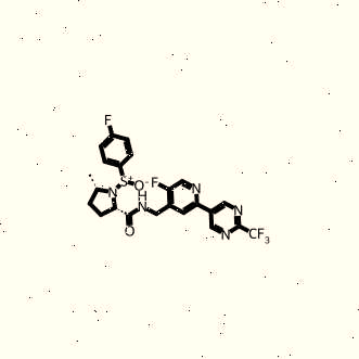 C[C@H]1CC[C@@H](C(=O)NCc2cc(-c3cnc(C(F)(F)F)nc3)ncc2F)N1[S+]([O-])c1ccc(F)cc1